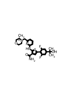 C[C@H]1COCCN1Cc1cccc(Nc2sc(-c3c(F)cc(C(C)(C)O)cc3F)cc2C(N)=O)n1